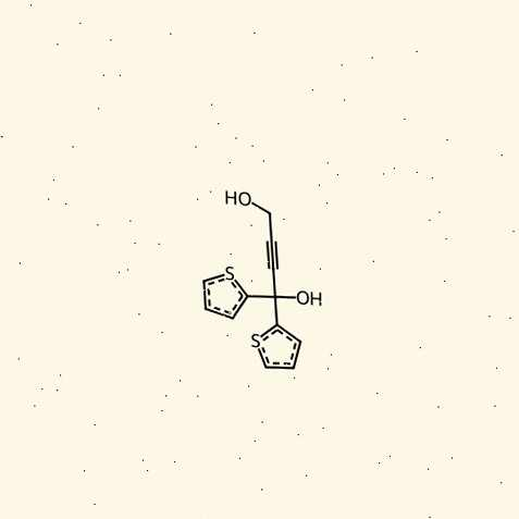 OCC#CC(O)(c1cccs1)c1cccs1